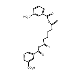 O=C(CCCCC(=O)OC(=O)c1cccc(C(=O)O)c1)OC(=O)c1cccc(C(=O)O)c1